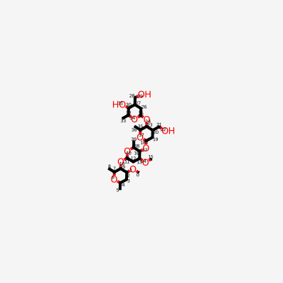 COC1CC(C)OC(C)C1OC1CC(OC)C(OC2CC(CO)C(OC3CC(CO)C(O)C(C)O3)C(C)O2)C(C)O1